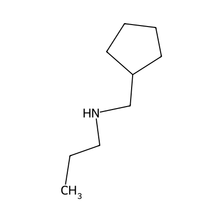 CCCNCC1CCCC1